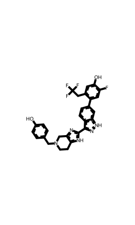 Oc1ccc(CN2CCc3[nH]c(-c4n[nH]c5cc(-c6cc(F)c(O)cc6CC(F)(F)F)ccc45)nc3C2)cc1